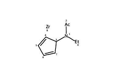 CCN(C(C)=O)C1C=CC=C1.[Zr]